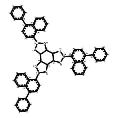 c1ccc(-c2ccc(B3OC4C5OB(c6ccc(-c7ccccc7)c7ccccc67)OC5C5OB(c6ccc(-c7ccccc7)c7ccccc67)OC5C4O3)c3ccccc23)cc1